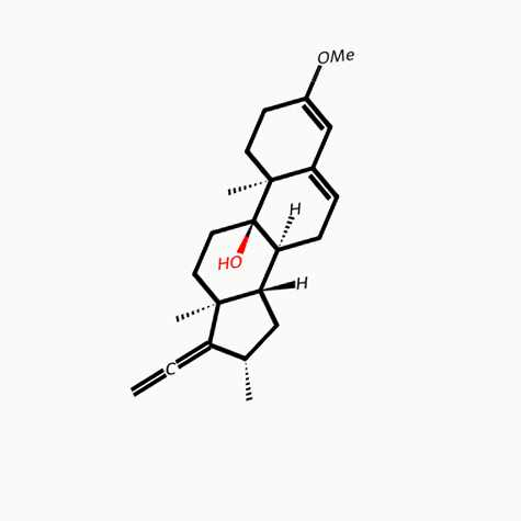 C=C=C1[C@@H](C)C[C@H]2[C@@H]3CC=C4C=C(OC)CC[C@]4(C)[C@@]3(O)CC[C@]12C